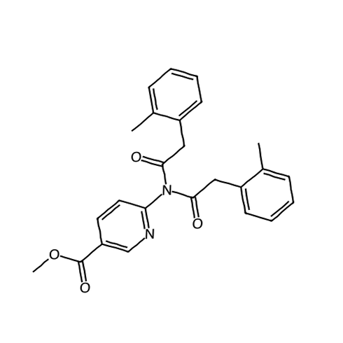 COC(=O)c1ccc(N(C(=O)Cc2ccccc2C)C(=O)Cc2ccccc2C)nc1